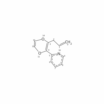 C=CCC1=C(c2ccccn2)OC=CO1